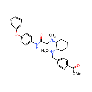 COC(=O)c1ccc(CN(C)[C@H]2CCCC[C@@H]2N(C)CC(=O)Nc2ccc(Oc3ccccc3)cc2)cc1